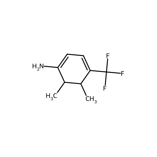 CC1C(N)=CC=C(C(F)(F)F)C1C